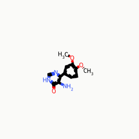 COc1ccc(-c2nc[nH]c(=O)c2N)cc1OC